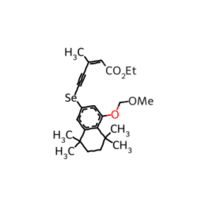 CCOC(=O)C=C(C)C#C[Se]c1cc(OCOC)c2c(c1)C(C)(C)CCC2(C)C